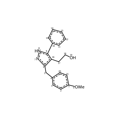 COc1ccc(Cc2n[nH]c(-c3ccccc3)c2CCO)cc1